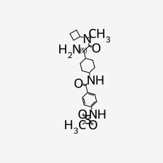 CN(C(=O)[C@@H](N)C1CCC(NC(=O)c2ccc(NS(C)(=O)=O)cc2)CC1)C1CCC1